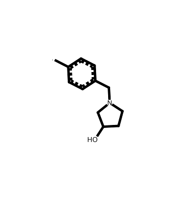 [CH2]c1ccc(CN2CCC(O)C2)cc1